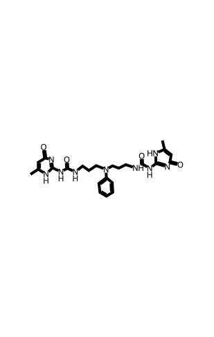 Cc1cc(=O)nc(NC(=O)NCCCN(CCCNC(=O)Nc2nc(=O)cc(C)[nH]2)c2ccccc2)[nH]1